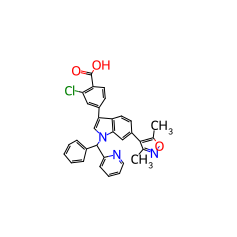 Cc1noc(C)c1-c1ccc2c(-c3ccc(C(=O)O)c(Cl)c3)cn(C(c3ccccc3)c3ccccn3)c2c1